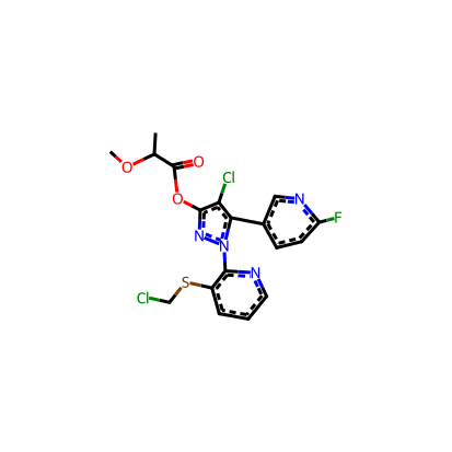 COC(C)C(=O)Oc1nn(-c2ncccc2SCCl)c(-c2ccc(F)nc2)c1Cl